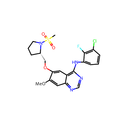 COc1cc2ncnc(Nc3cccc(Cl)c3F)c2cc1OC[C@@H]1CCCN1S(C)(=O)=O